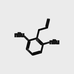 C=CCc1c(CCCC)cccc1CCCC